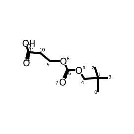 CC(C)(C)COC(=O)OCCC(=O)O